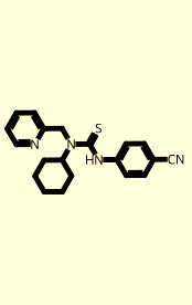 N#Cc1ccc(NC(=S)N(Cc2ccccn2)C2CCCCC2)cc1